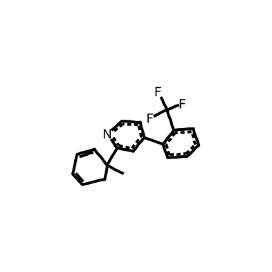 CC1(c2cc(-c3ccccc3C(F)(F)F)ccn2)C=CC=CC1